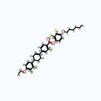 CCCCCCOc1ccc(OC(=O)c2ccc(C3=CCC(c4ccc(OCC)c(F)c4F)CC3)cc2F)c(F)c1F